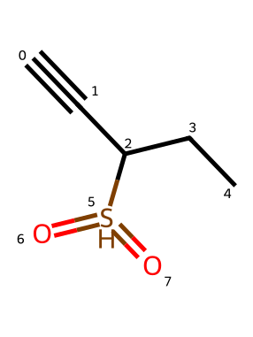 C#CC(CC)[SH](=O)=O